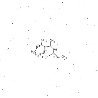 C/C=C(/C)PC(C)C(=C/N)/C(C)=N\C